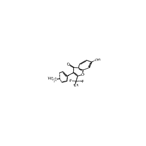 CCC(F)(F)c1oc2cc(O)ccc2c(=O)c1C1=CCC(C(=O)O)C=C1